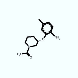 Cc1ccc(N)c(O[C@H]2CCCN(C(=O)C(F)(F)F)C2)c1